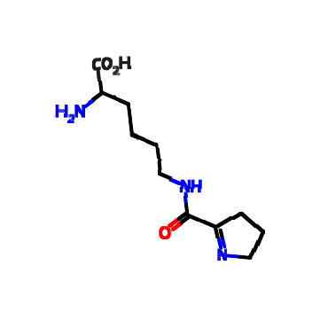 NC(CCCCNC(=O)C1=NCCC1)C(=O)O